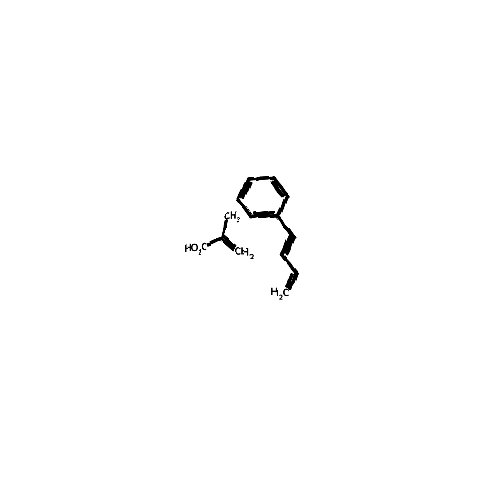 C=C(C)C(=O)O.C=CC=Cc1ccccc1